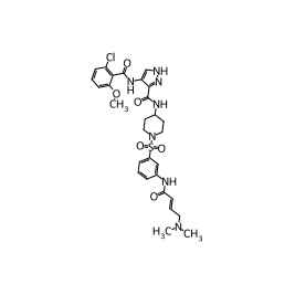 COc1cccc(Cl)c1C(=O)Nc1c[nH]nc1C(=O)NC1CCN(S(=O)(=O)c2cccc(NC(=O)C=CCN(C)C)c2)CC1